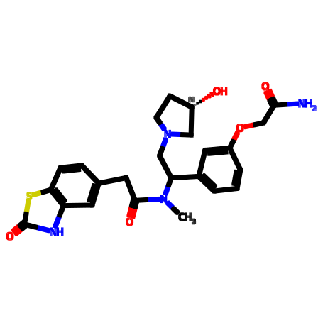 CN(C(=O)Cc1ccc2sc(=O)[nH]c2c1)C(CN1CC[C@H](O)C1)c1cccc(OCC(N)=O)c1